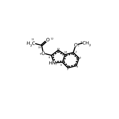 COc1cccc2[nH]c(OC(C)=O)cc12